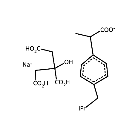 CC(C)Cc1ccc(C(C)C(=O)[O-])cc1.O=C(O)CC(O)(CC(=O)O)C(=O)O.[Na+]